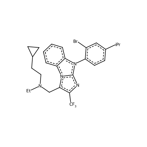 CCN(CCC1CC1)Cc1c(C(F)(F)F)nc2n(-c3ccc(C(C)C)cc3Br)c3ccccc3n12